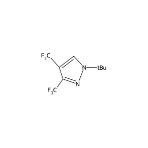 CC(C)(C)n1cc(C(F)(F)F)c(C(F)(F)F)n1